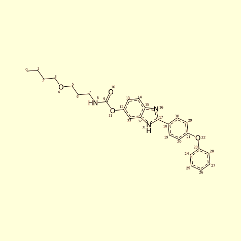 CCCCOCCCNC(=O)Oc1ccc2nc(-c3ccc(Oc4ccccc4)cc3)[nH]c2c1